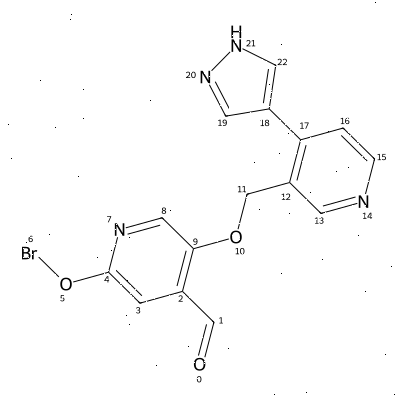 O=Cc1cc(OBr)ncc1OCc1cnccc1-c1cn[nH]c1